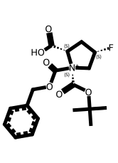 CC(C)(C)OC(=O)[N@@+]1(C(=O)OCc2ccccc2)C[C@@H](F)C[C@H]1C(=O)O